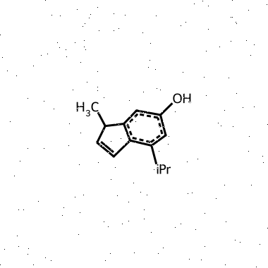 CC(C)c1cc(O)cc2c1C=CC2C